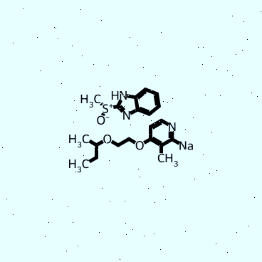 CCC(C)OCCOc1ccn[c]([Na])c1C.C[S+]([O-])c1nc2ccccc2[nH]1